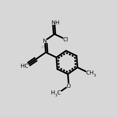 C#C/C(=N/C(=N)Cl)c1ccc(C)c(OC)c1